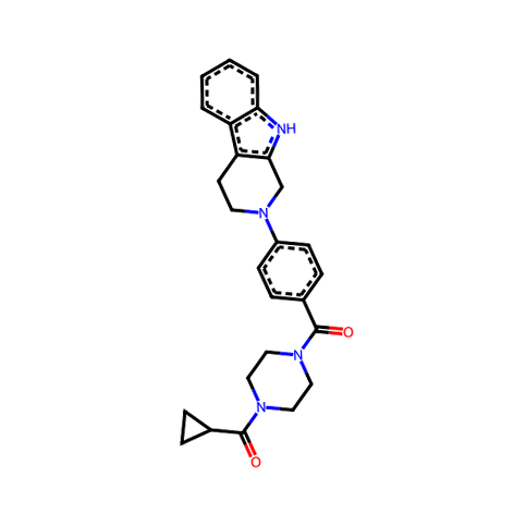 O=C(c1ccc(N2CCc3c([nH]c4ccccc34)C2)cc1)N1CCN(C(=O)C2CC2)CC1